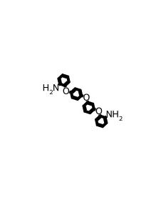 Nc1ccccc1Oc1ccc(Oc2cccc(Oc3ccccc3N)c2)cc1